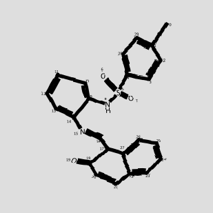 Cc1ccc(S(=O)(=O)Nc2ccccc2/N=C/C2C(=O)C=Cc3ccccc32)cc1